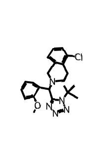 COc1ccccc1C(c1nnnn1C(C)(C)C)N1CCc2c(Cl)cccc2C1